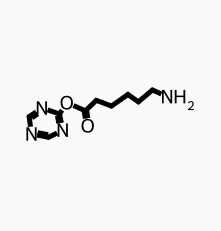 NCCCCCC(=O)Oc1ncncn1